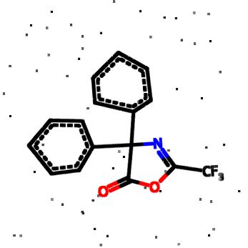 O=C1OC(C(F)(F)F)=NC1(c1ccccc1)c1ccccc1